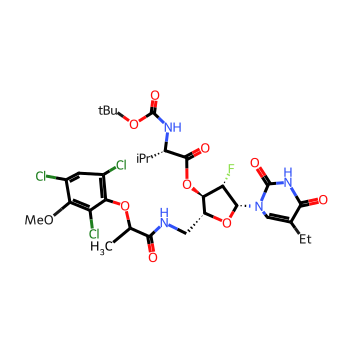 CCc1cn([C@@H]2O[C@H](CNC(=O)C(C)Oc3c(Cl)cc(Cl)c(OC)c3Cl)[C@@H](OC(=O)[C@@H](NC(=O)OC(C)(C)C)C(C)C)[C@@H]2F)c(=O)[nH]c1=O